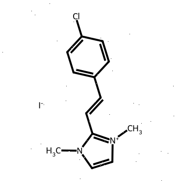 Cn1cc[n+](C)c1C=Cc1ccc(Cl)cc1.[I-]